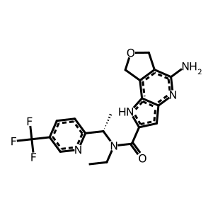 CCN(C(=O)c1cc2nc(N)c3c(c2[nH]1)COC3)[C@@H](C)c1ccc(C(F)(F)F)cn1